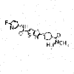 CN(C)C(=O)C1CCN(c2nc3sc(C(=O)Nc4ccc(F)nc4)cc3s2)CC1